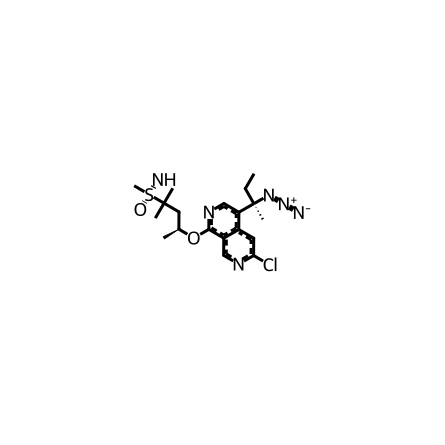 CC[C@@](C)(N=[N+]=[N-])c1cnc(O[C@@H](C)CC(C)(C)S(C)(=N)=O)c2cnc(Cl)cc12